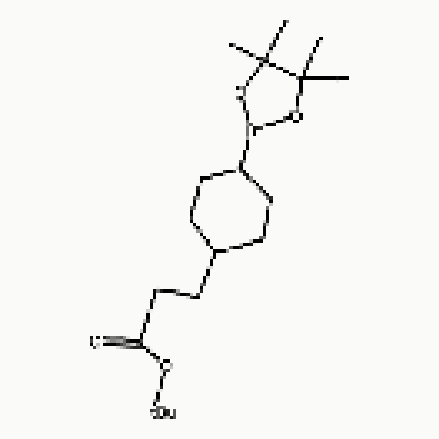 CC(C)(C)OC(=O)CCC1CCC(B2OC(C)(C)C(C)(C)O2)CC1